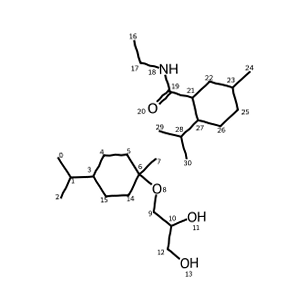 CC(C)C1CCC(C)(OCC(O)CO)CC1.CCNC(=O)C1CC(C)CCC1C(C)C